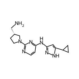 NC[C@H]1CCN(c2nccc(Nc3cc(C4CC4)[nH]n3)n2)C1